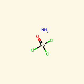 N.[O]=[Nb]([Cl])([Cl])[Cl]